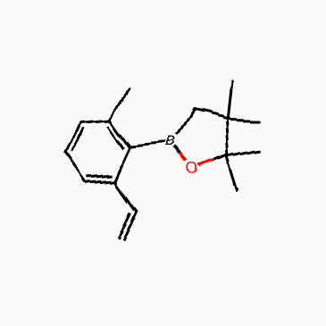 C=Cc1cccc(C)c1B1CC(C)(C)C(C)(C)O1